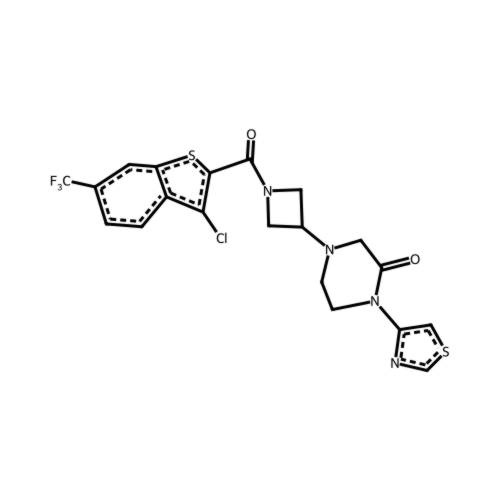 O=C(c1sc2cc(C(F)(F)F)ccc2c1Cl)N1CC(N2CCN(c3cscn3)C(=O)C2)C1